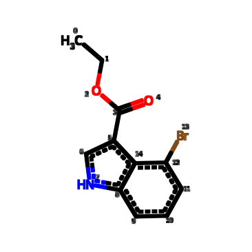 CCOC(=O)c1c[nH]c2cccc(Br)c12